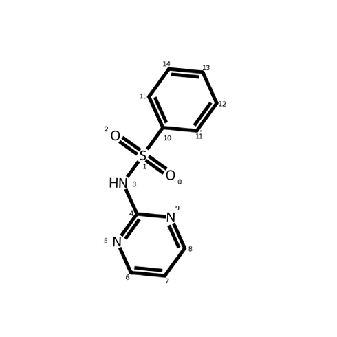 O=S(=O)(Nc1ncccn1)c1[c]cccc1